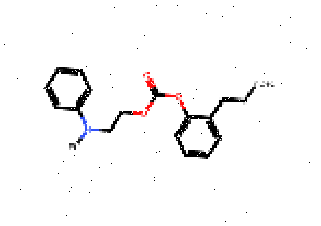 CCCCCCCCCCCCc1ccccc1OC(=O)OCCN(CC)c1ccccc1